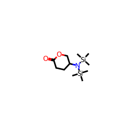 C[Si](C)(C)N(C1CCC(=O)OC1)[Si](C)(C)C